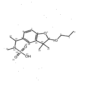 CCCOC1Oc2ccc(C(C)N(C)S(=O)(=O)O)cc2C1(C)C